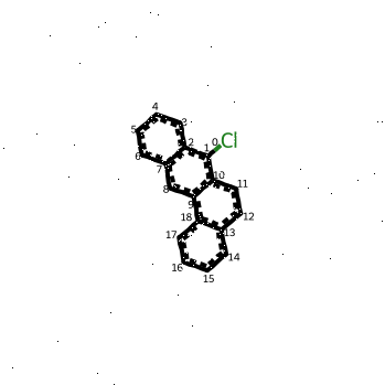 Clc1c2ccccc2cc2c1ccc1ccccc12